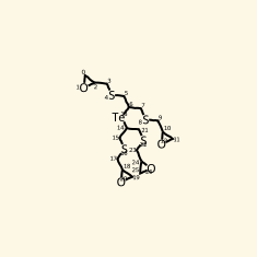 C1OC1CSCC(CSCC1CO1)[Te]C(CSCC1CO1)CSCC1CO1